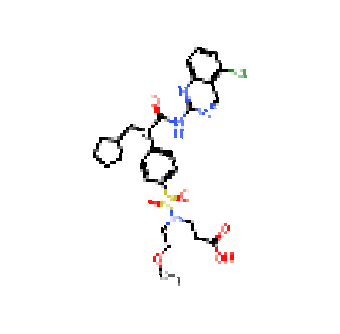 COCCN(CCC(=O)O)S(=O)(=O)c1ccc([C@@H](CC2CCCC2)C(=O)Nc2ncc3c(Cl)cccc3n2)cc1